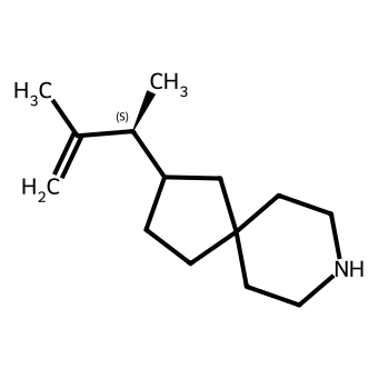 C=C(C)[C@@H](C)C1CCC2(CCNCC2)C1